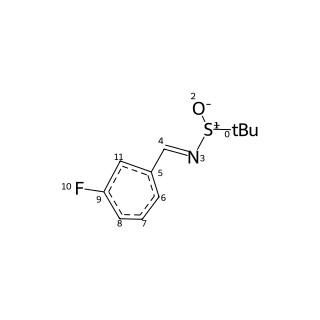 CC(C)(C)[S+]([O-])N=Cc1cccc(F)c1